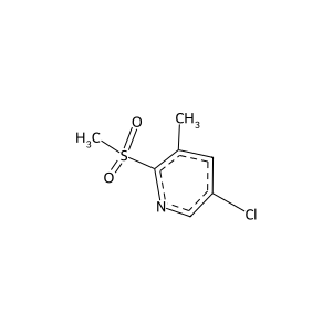 Cc1cc(Cl)cnc1S(C)(=O)=O